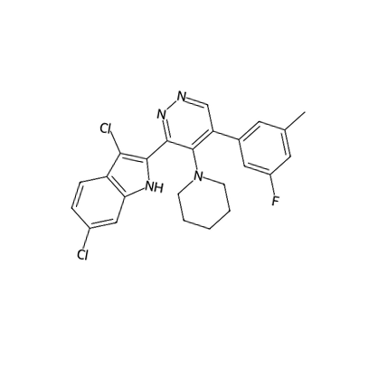 Cc1cc(F)cc(-c2cnnc(-c3[nH]c4cc(Cl)ccc4c3Cl)c2N2CCCCC2)c1